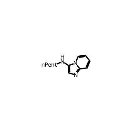 CCCCCNc1cnc2ccccn12